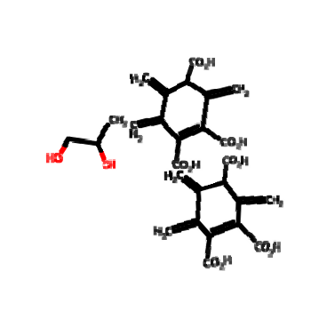 C=C1C(=C)C(C(=O)O)C(=C)C(C(=O)O)=C1C(=O)O.C=C1C(=C)C(C(=O)O)C(=C)C(C(=O)O)=C1C(=O)O.CC(O)CO